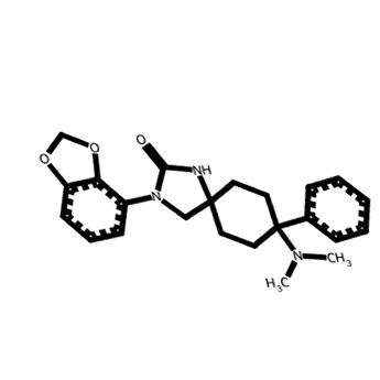 CN(C)C1(c2ccccc2)CCC2(CC1)CN(c1cccc3c1OCO3)C(=O)N2